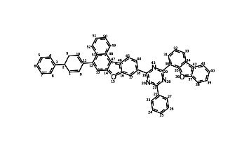 C1=CC(c2ccccc2)CC=C1c1cc2oc3cc(-c4nc(-c5ccccc5)nc(-c5cccc6c5oc5ccccc56)n4)ccc3c2c2ccccc12